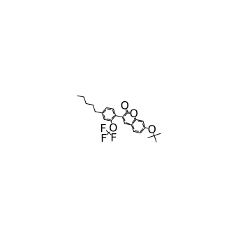 CCCCCc1ccc(-c2cc3ccc(OC(C)(C)C)cc3oc2=O)c(OC(F)(F)F)c1